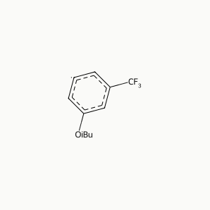 CC(C)COc1c[c]cc(C(F)(F)F)c1